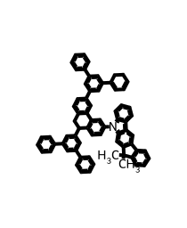 CC1(C)c2ccccc2-c2cc3c4ccccc4n(-c4ccc5c(c4)-c4cc(-c6cc(C7=CC=CCC7)cc(-c7ccccc7)c6)ccc4CC5c4cc(-c5ccccc5)cc(-c5ccccc5)c4)c3cc21